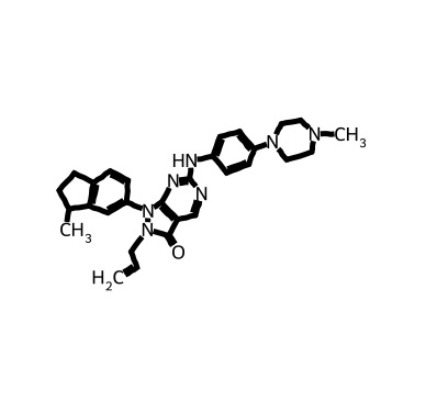 C=CCn1c(=O)c2cnc(Nc3ccc(N4CCN(C)CC4)cc3)nc2n1-c1ccc2c(c1)C(C)CC2